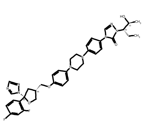 CC[C@@H]([C@H](C)O)n1ncn(-c2ccc(N3CCN(c4ccc(OC[C@@H]5CO[C@](c6ccc(F)cc6F)(n6cncn6)C5)cc4)CC3)cc2)c1=O